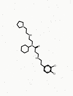 O=C(CCNCCc1ccc(Cl)c(Cl)c1)N(CCNCCN1CCCC1)C1CCCCC1